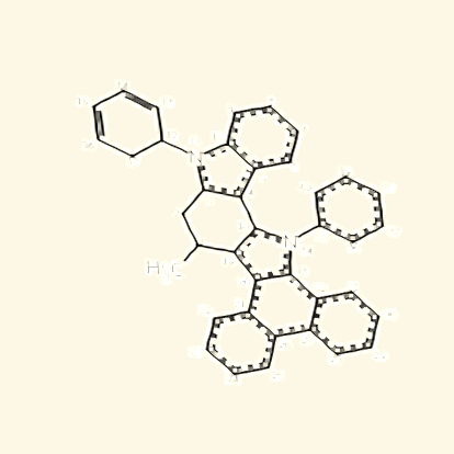 CC1Cc2c(c3ccccc3n2C2C=CC=CC2)-c2c1c1c3ccccc3c3ccccc3c1n2-c1ccccc1